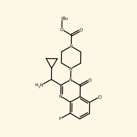 CC(C)(C)OC(=O)N1CCN(n2c(C(N)C3CC3)nc3c(F)ccc(Cl)c3c2=O)CC1